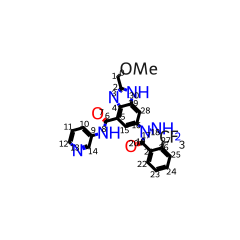 COCc1nc2c(C(=O)Nc3cccnc3)cc(N(N)C(=O)c3ccccc3C(F)(F)F)cc2[nH]1